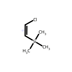 C[Si](C)(C)/C=C\Cl